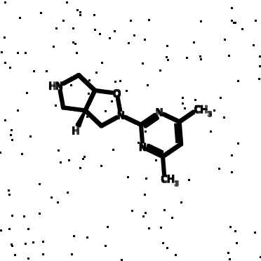 Cc1cc(C)nc(N2C[C@@H]3CNCC3O2)n1